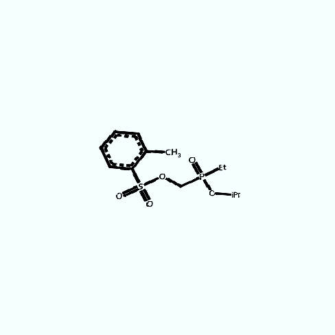 CCP(=O)(COS(=O)(=O)c1ccccc1C)OC(C)C